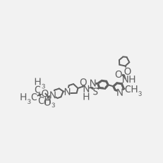 Cc1ncc(-c2ccc3nc(NC(=O)C4CCN(C5CCN(C(=O)OC(C)(C)C)CC5)CC4)sc3c2)cc1NC(=O)OC1CCCCC1